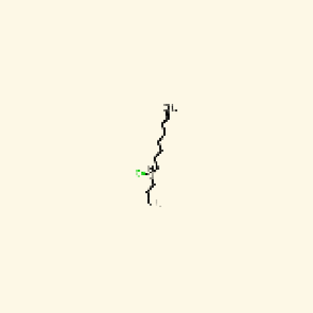 C=CCCCCCC[SiH](Cl)CCC